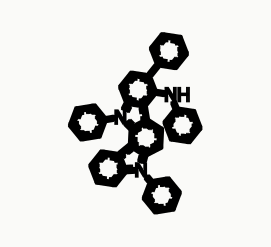 c1ccc(Nc2c(-c3ccccc3)ccc3c2c2ccc4c(c5ccccc5n4-c4ccccc4)c2n3-c2ccccc2)cc1